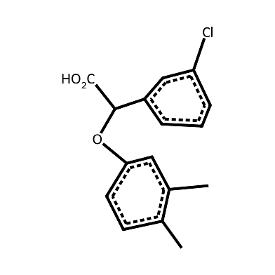 Cc1ccc(OC(C(=O)O)c2cccc(Cl)c2)cc1C